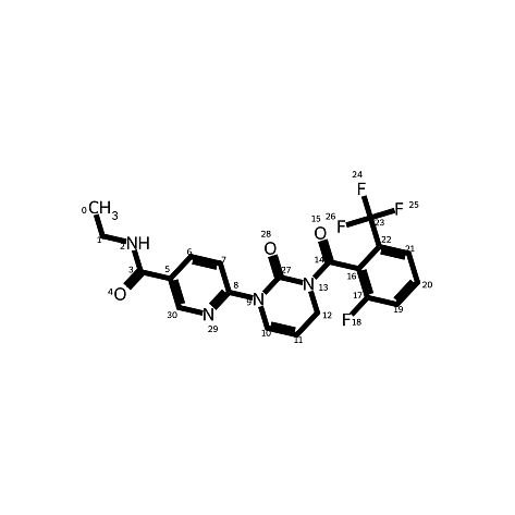 CCNC(=O)c1ccc(N2C=CCN(C(=O)c3c(F)cccc3C(F)(F)F)C2=O)nc1